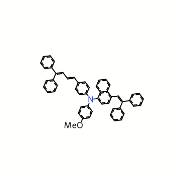 COc1ccc(N(c2ccc(/C=C/C=C(c3ccccc3)c3ccccc3)cc2)c2ccc(C=C(c3ccccc3)c3ccccc3)c3ccccc23)cc1